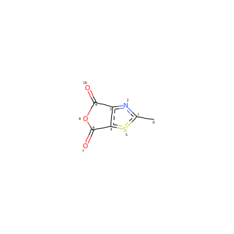 Cc1nc2c(s1)C(=O)OC2=O